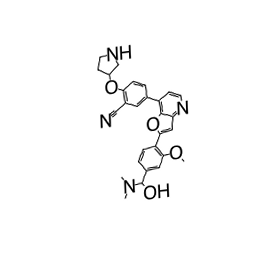 COc1cc(C(O)N(C)C)ccc1-c1cc2nccc(-c3ccc(OC4CCNC4)c(C#N)c3)c2o1